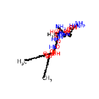 CCCCCCCCCCCCCCCC(=O)OCC(COP(=O)(O)OCCNC(=O)CCCC(=O)NCC(=O)NC(C(=O)NC(CCCCN)C(=O)N1CCCC1C(=O)N1CCCC1C(=O)CC(CCCNC(=N)N)C(=O)O)C(C)O)OC(=O)CCCCCCCCCCCCCCC